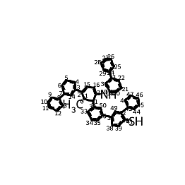 CC1C(c2cccc(-c3ccccc3)c2)=CC=C(Nc2cccc(-c3ccccc3)c2)C1c1cccc(-c2ccc(S)c(-c3ccccc3)c2)c1